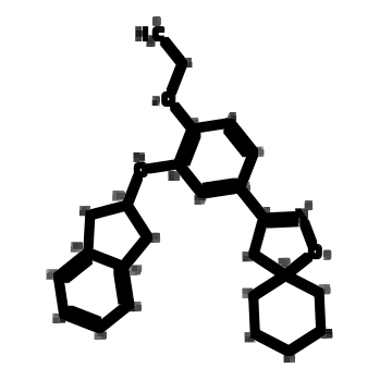 CCOc1ccc(C2=NOC3(CCCCC3)C2)cc1OC1Cc2ccccc2C1